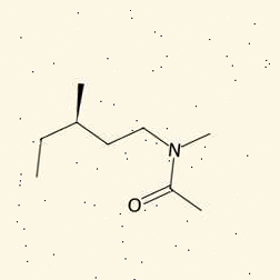 CC[C@@H](C)CCN(C)C(C)=O